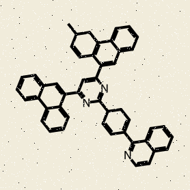 CC1C=Cc2c(-c3cc(-c4cc5ccccc5c5ccccc45)nc(C4C=CC(c5nccc6ccccc56)=CC4)n3)cc3ccccc3c2C1